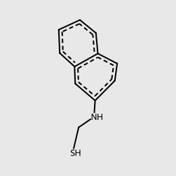 SCNc1ccc2ccccc2c1